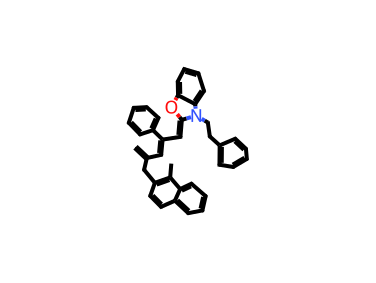 C=C(/C=C(/C=C1\Oc2ccccc2N1CCc1ccccc1)c1ccccc1)Cc1ccc2ccccc2c1C